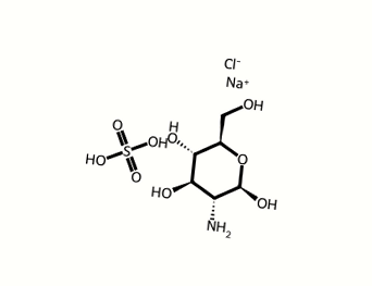 N[C@@H]1[C@@H](O)[C@H](O)[C@@H](CO)O[C@H]1O.O=S(=O)(O)O.[Cl-].[Na+]